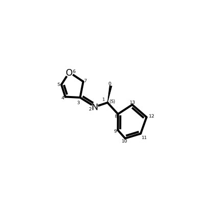 C[C@H](N=C1C=COC1)c1ccccc1